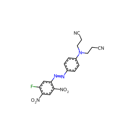 N#CCCN(CCC#N)c1ccc(/N=N/c2cc(F)c([N+](=O)[O-])cc2[N+](=O)[O-])cc1